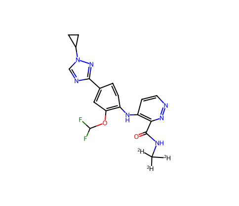 [2H]C([2H])([2H])NC(=O)c1nnccc1Nc1ccc(-c2ncn(C3CC3)n2)cc1OC(F)F